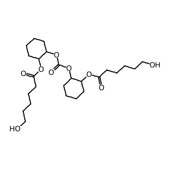 O=C(CCCCCO)OC1CCCCC1OC(=O)OC1CCCCC1OC(=O)CCCCCO